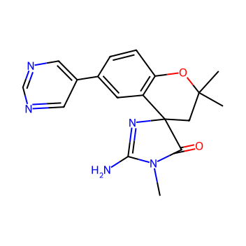 CN1C(=O)C2(CC(C)(C)Oc3ccc(-c4cncnc4)cc32)N=C1N